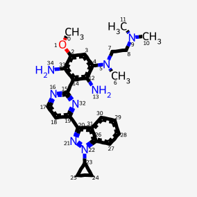 COc1cc(N(C)CCN(C)C)c(N)c(-c2nccc(-c3nn(C4CC4)c4ccccc34)n2)c1N